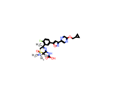 CN=[S@@]1(=O)C[C@@](C)(c2cc(-c3cc(-c4cnc(OCC5CC5)cn4)no3)ccc2F)N=C(NC(=O)O)C1(C)C